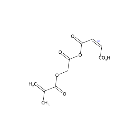 C=C(C)C(=O)OCC(=O)OC(=O)/C=C\C(=O)O